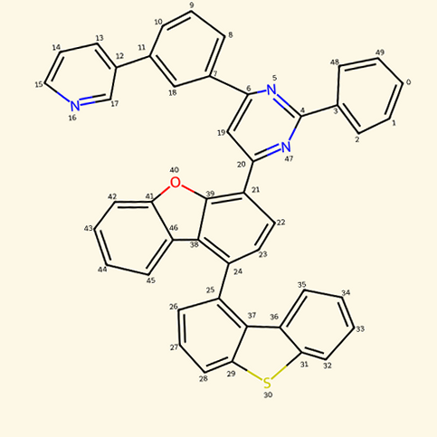 c1ccc(-c2nc(-c3cccc(-c4cccnc4)c3)cc(-c3ccc(-c4cccc5sc6ccccc6c45)c4c3oc3ccccc34)n2)cc1